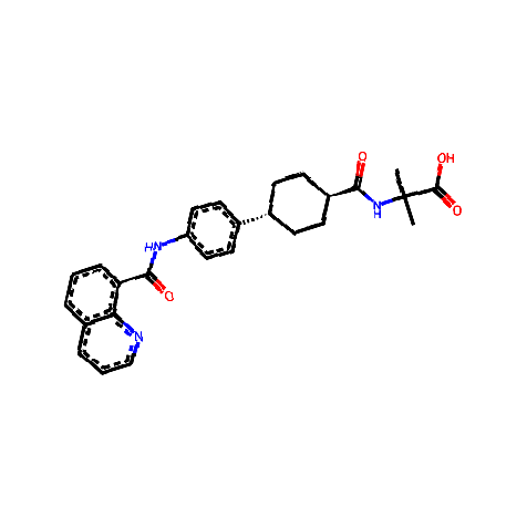 CC(C)(NC(=O)[C@H]1CC[C@H](c2ccc(NC(=O)c3cccc4cccnc34)cc2)CC1)C(=O)O